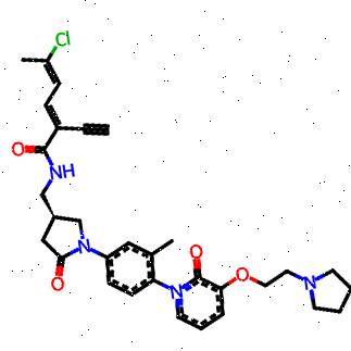 C#C/C(=C\C=C(/C)Cl)C(=O)NC[C@@H]1CC(=O)N(c2ccc(-n3cccc(OCCN4CCCC4)c3=O)c(C)c2)C1